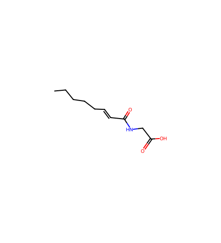 CCCCCC=CC(=O)NCC(=O)O